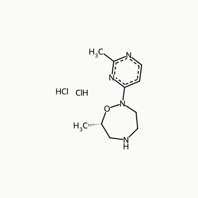 Cc1nccc(N2CCNC[C@H](C)O2)n1.Cl.Cl